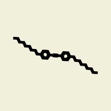 CCCCCCCCCc1ccc(C#Cc2ccc(CCCCCCCCC)cc2)cc1